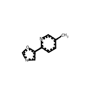 Cc1ccc(-c2cnco2)nc1